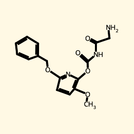 COc1ccc(OCc2ccccc2)nc1OC(=O)NC(=O)CN